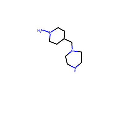 NN1CCC(CN2CCNCC2)CC1